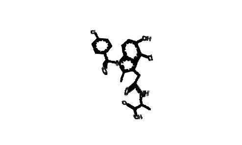 Cc1c(CC(=O)NC(C)C(=O)O)c2c(Cl)c(O)ccc2n1C(=O)c1ccc(Cl)cc1